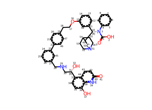 O=C(O)N(c1ccccc1)[C@@H](c1cccc(OCCc2ccc(-c3cccc(CNC[C@H](O)c4ccc(O)c5[nH]c(=O)ccc45)c3)cc2)c1)C1CN2CCC1CC2